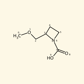 COCC1CCN1C(=O)O